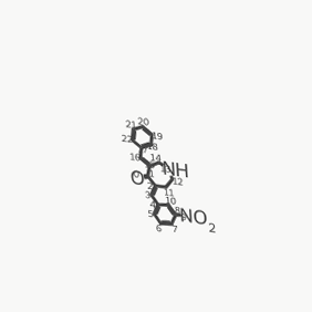 O=C1C(=Cc2cccc([N+](=O)[O-])c2)CCNCC1=Cc1ccccc1